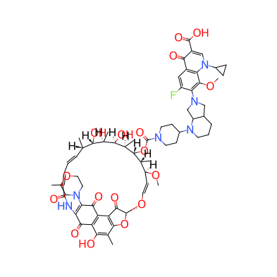 COc1c(N2CC3CCCN(C4CCN(C(=O)O[C@H]5[C@H](C)[C@H](O)[C@H](C)[C@@H](O)[C@@H](C)/C=C/C=C(/C)C(=O)NC6=C(N7CCOCC7)C(=O)c7c(c(O)c(C)c8c7C(=O)[C@@](C)(O/C=C/[C@H](OC)[C@H]5C)O8)C6=O)CC4)C3C2)c(F)cc2c(=O)c(C(=O)O)cn(C3CC3)c12